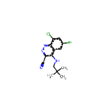 CC(C)(C)CNc1c(C#N)nnc2c(Cl)cc(Br)cc12